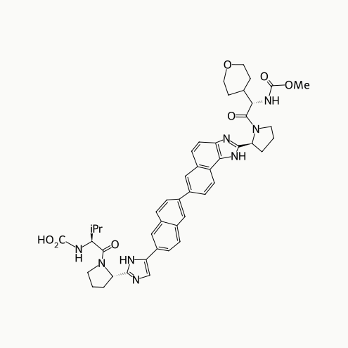 COC(=O)N[C@H](C(=O)N1CCC[C@H]1c1nc2ccc3cc(-c4ccc5cc(-c6cnc([C@@H]7CCCN7C(=O)[C@@H](NC(=O)O)C(C)C)[nH]6)ccc5c4)ccc3c2[nH]1)C1CCOCC1